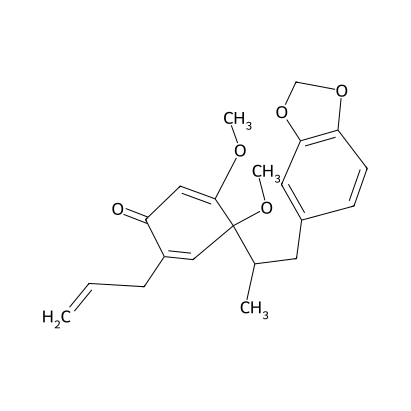 C=CCC1=CC(OC)(C(C)Cc2ccc3c(c2)OCO3)C(OC)=CC1=O